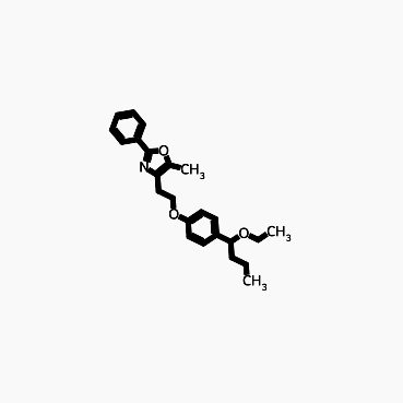 CCCC(OCC)c1ccc(OCCc2nc(-c3ccccc3)oc2C)cc1